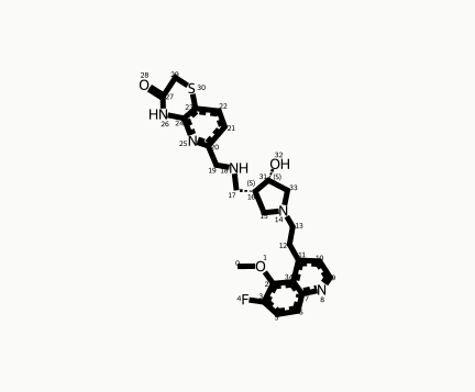 COc1c(F)ccc2nccc(CCN3C[C@H](CNCc4ccc5c(n4)NC(=O)CS5)[C@H](O)C3)c12